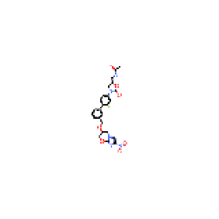 CC(=O)NCC1CN(c2ccc(-c3cccc(COC4COc5nc([N+](=O)[O-])cn5C4)c3)c(F)c2)C(=O)O1